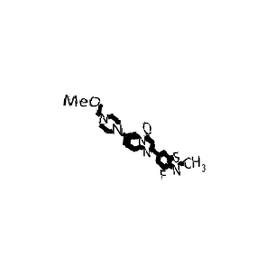 COCCN1CCN(c2ccc3nc(-c4cc(F)c5nc(C)sc5c4)cc(=O)n3c2)CC1